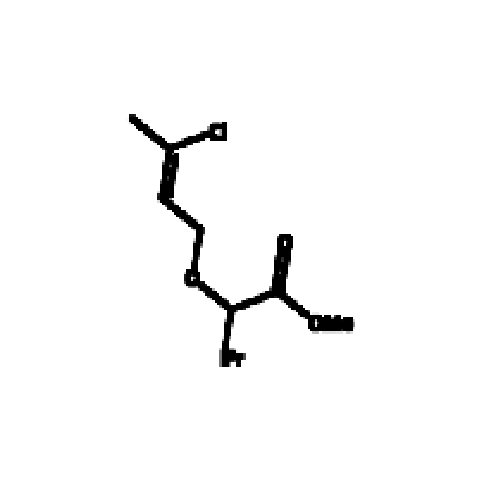 COC(=O)C(OC/C=C(/C)Cl)C(C)C